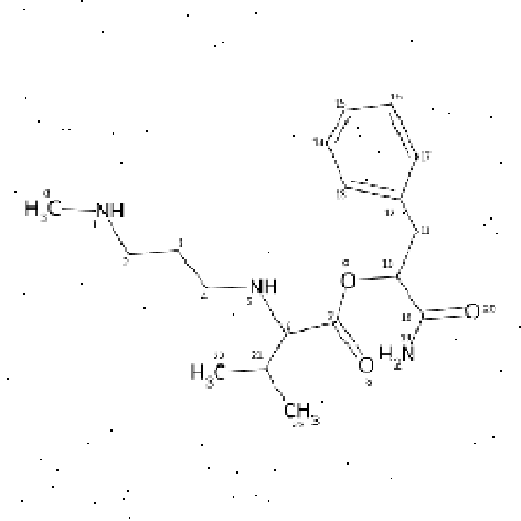 CNCCCNC(C(=O)OC(Cc1ccccc1)C(N)=O)C(C)C